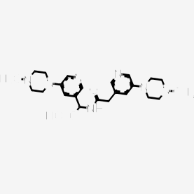 CN1CCN(c2cncc(CC(=O)NC(C(=O)O)c3cncc(N4CCN(C)CC4)c3)c2)CC1